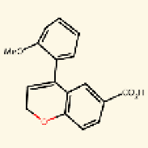 COc1ccccc1C1=CCOc2ccc(C(=O)O)cc21